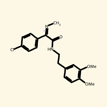 C/N=C(\C(=O)NCCc1ccc(OC)c(OC)c1)c1ccc(Cl)cc1